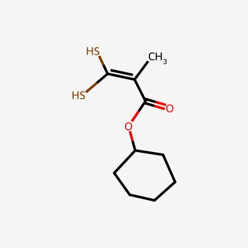 CC(C(=O)OC1CCCCC1)=C(S)S